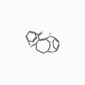 S=C1/C2=C3/CCC(CCC2Oc2ccc1cc2)OC1=CC=C(CC1)N3